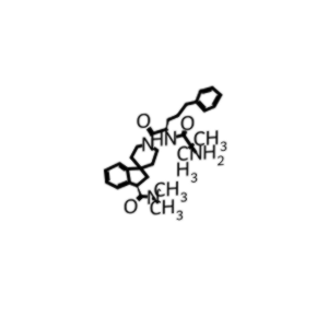 CN(C)C(=O)[C@@H]1CC2(CCN(C(=O)[C@@H](CCCc3ccccc3)NC(=O)C(C)(C)N)CC2)c2ccccc21